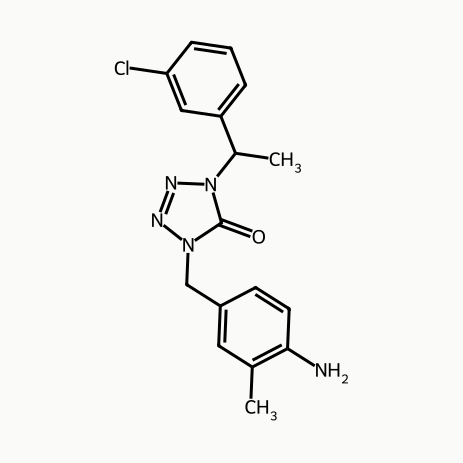 Cc1cc(Cn2nnn(C(C)c3cccc(Cl)c3)c2=O)ccc1N